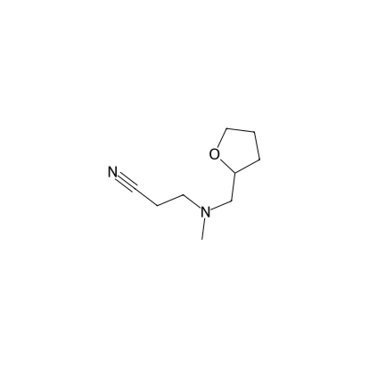 CN(CCC#N)CC1CCCO1